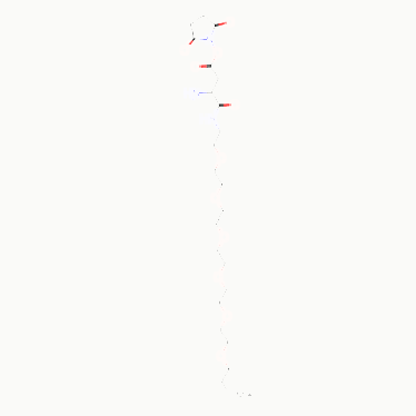 COCCOCCOCCOCCOCCOCCOCCNC(=O)C(CC(=O)ON1C(=O)CCC1=O)NC(=O)O